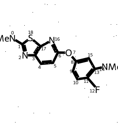 CNc1nc2ccc(Oc3ccc(F)c(NC)c3)nc2s1